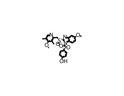 COc1ccc2c(c1)nc([S+]([O-])Cc1ncc(C)c(OC)c1C)n2S(=O)(=O)c1ccc(O)cc1